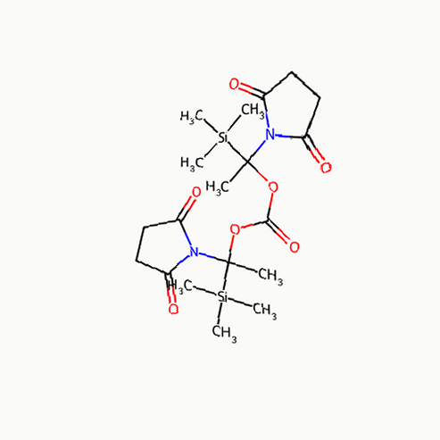 CC(OC(=O)OC(C)(N1C(=O)CCC1=O)[Si](C)(C)C)(N1C(=O)CCC1=O)[Si](C)(C)C